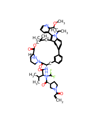 C=CC(=O)N1CC[C@H](C(=O)N(C(F)F)C(C(=O)N[C@H]2Cc3cccc(c3)-c3ccc4c(c3)c(c(-c3cccnc3[C@H](C)OC)n4CC)CC(C)(C)COC(=O)[C@@H]3CCCN(N3)C2=O)C(C)C)C1